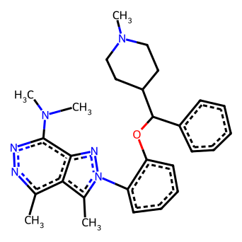 Cc1nnc(N(C)C)c2nn(-c3ccccc3OC(c3ccccc3)C3CCN(C)CC3)c(C)c12